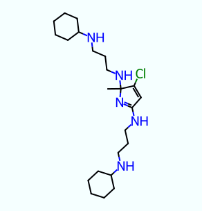 CC1(NCCCNC2CCCCC2)N=C(NCCCNC2CCCCC2)C=C1Cl